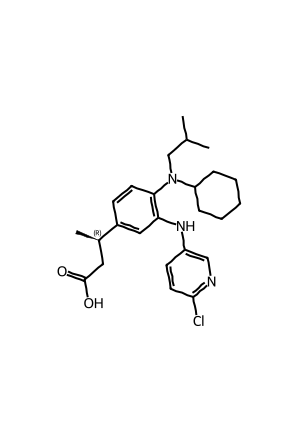 CC(C)CN(c1ccc([C@H](C)CC(=O)O)cc1Nc1ccc(Cl)nc1)C1CCCCC1